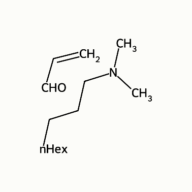 C=CC=O.CCCCCCCCCN(C)C